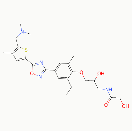 CCc1cc(-c2noc(-c3cc(C)c(CN(C)C)s3)n2)cc(C)c1OCC(O)CNC(=O)CO